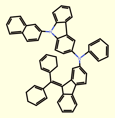 C1=CCCC(/C(C2=CCCC=C2)=C2/c3ccccc3-c3ccc(N(c4ccccc4)c4ccc5c(c4)c4ccccc4n5-c4ccc5ccccc5c4)cc32)=C1